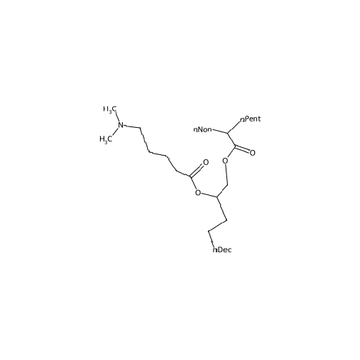 CCCCCCCCCCCCC(COC(=O)C(CCCCC)CCCCCCCCC)OC(=O)CCCCN(C)C